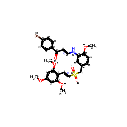 COc1cc(OC)c(/C=C/S(=O)(=O)Cc2ccc(OC)c(N/C=C/C(=O)c3ccc(Br)cc3)c2)c(OC)c1